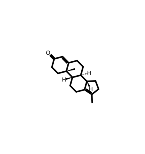 CC1=C2CC[C@H]3[C@@H](CCC4=CC(=O)CC[C@]43C)[C@@H]2CC1